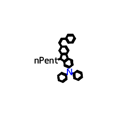 CCCCCC1C2=C(C=CC(/C=C\c3ccccc3)C2)c2ccc(N(C3=CCCC=C3)c3ccccc3)cc21